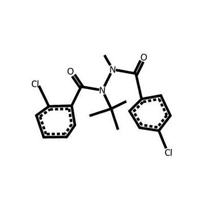 CN(C(=O)c1ccc(Cl)cc1)N(C(=O)c1ccccc1Cl)C(C)(C)C